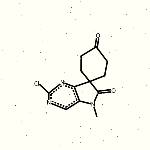 CN1C(=O)C2(CCC(=O)CC2)c2nc(Cl)ncc21